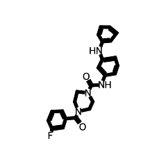 O=C(Nc1cccc(Nc2ccccc2)c1)N1CCN(C(=O)c2cccc(F)c2)CC1